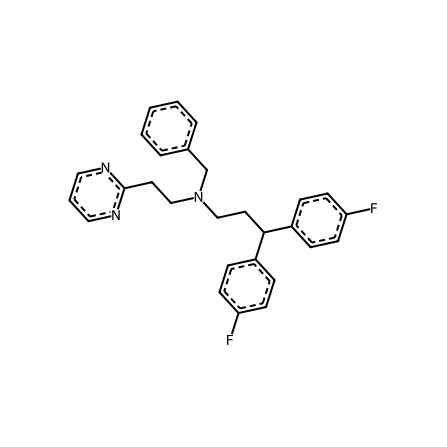 Fc1ccc(C(CCN(CCc2ncccn2)Cc2ccccc2)c2ccc(F)cc2)cc1